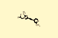 Cc1cc(C#Cc2cn(CC(F)F)c(C)n2)ccn1